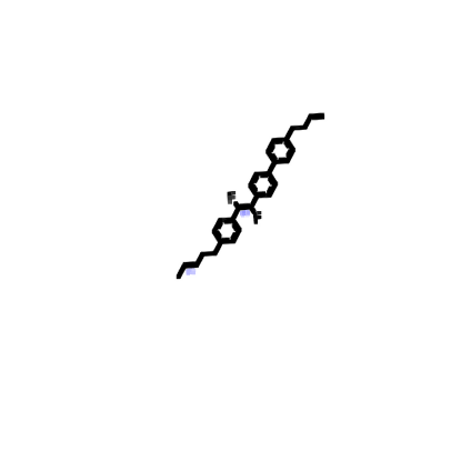 C=CCCc1ccc(-c2ccc(/C(F)=C(\F)c3ccc(CC/C=C/C)cc3)cc2)cc1